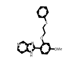 COc1ccc(-c2nc3cnccc3[nH]2)c(OCCSc2ccccc2)c1